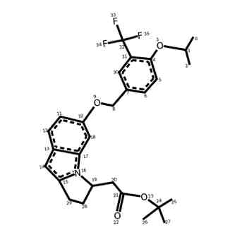 CC(C)Oc1ccc(COc2ccc3cc4n(c3c2)C(CC(=O)OC(C)(C)C)CC4)cc1C(F)(F)F